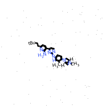 Cc1cc(Nc2nccc(-c3ccc(CCC(C)(C)C)nc3N)n2)ccc1N1C[C@@H]2C[C@H]1CN2C